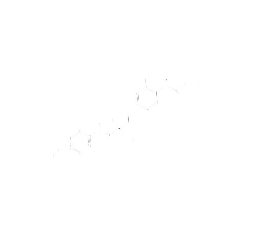 CCCC(CCC)(COc1ccc(C(F)(F)F)cc1)CSc1ccc(OCC(=O)OCC)c(C)c1